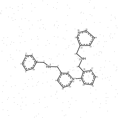 c1cncc(CNCc2ccc[n+](-c3cccnc3CNCc3cccnc3)c2)c1